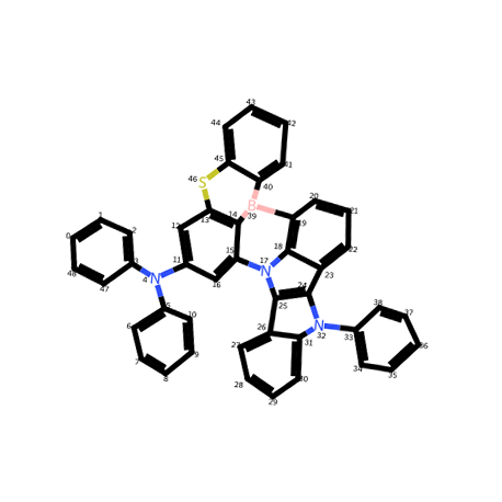 c1ccc(N(c2ccccc2)c2cc3c4c(c2)-n2c5c(cccc5c5c2c2ccccc2n5-c2ccccc2)B4c2ccccc2S3)cc1